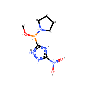 COP(c1nc([N+](=O)[O-])n[nH]1)N1CCCC1